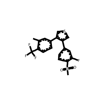 Cc1cc(-c2cscc2-c2ccc(S(C)(=O)=O)c(F)c2)ccc1C(F)(F)F